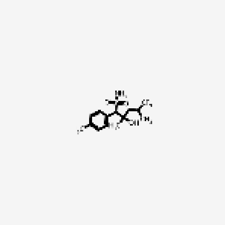 Cc1ccc(C(C(C)(O)CC(C)C(F)(F)F)S(N)(=O)=O)cc1